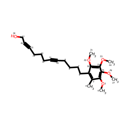 COc1c(C)c(CCCCC#CCCCC#CCO)c(OC)c(OC)c1OC